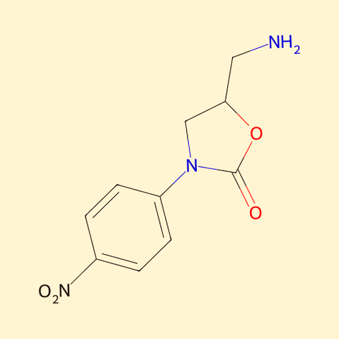 NCC1CN(c2ccc([N+](=O)[O-])cc2)C(=O)O1